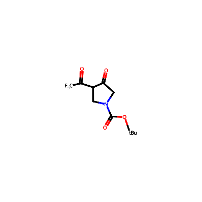 CC(C)(C)OC(=O)N1CC(=O)C(C(=O)C(F)(F)F)C1